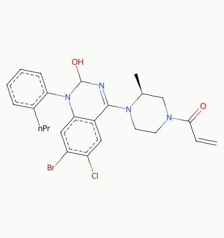 C=CC(=O)N1CCN(C2=NC(O)N(c3ccccc3CCC)c3cc(Br)c(Cl)cc32)[C@@H](C)C1